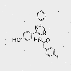 O=C(Cc1ccc(I)cc1)Nc1ncc(-c2ccccc2)nc1-c1ccc(O)cc1